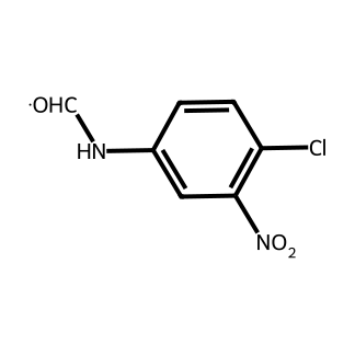 O=[C]Nc1ccc(Cl)c([N+](=O)[O-])c1